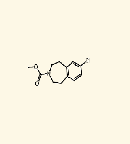 COC(=O)N1CCc2ccc(Cl)cc2CC1